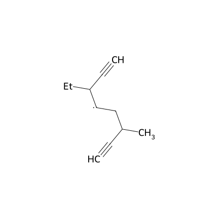 C#CC(C)C[CH]C(C#C)CC